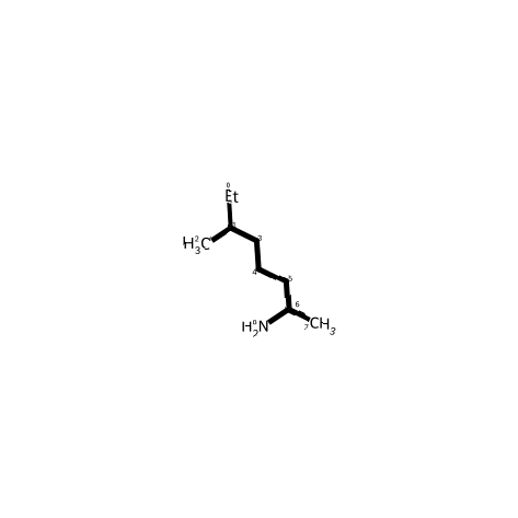 CCC(C)CCCC(C)N